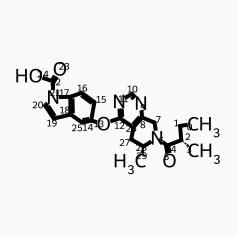 CC[C@H](C)C(=O)N1Cc2ncnc(Oc3ccc4c(ccn4C(=O)O)c3)c2C[C@@H]1C